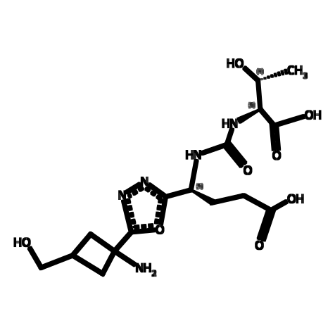 C[C@@H](O)[C@H](NC(=O)N[C@@H](CCC(=O)O)c1nnc(C2(N)CC(CO)C2)o1)C(=O)O